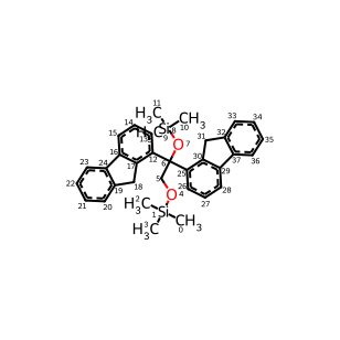 C[Si](C)(C)OCC(O[Si](C)(C)C)(c1cccc2c1Cc1ccccc1-2)c1cccc2c1Cc1ccccc1-2